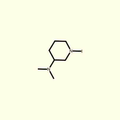 CN(C)C1CCCN(I)C1